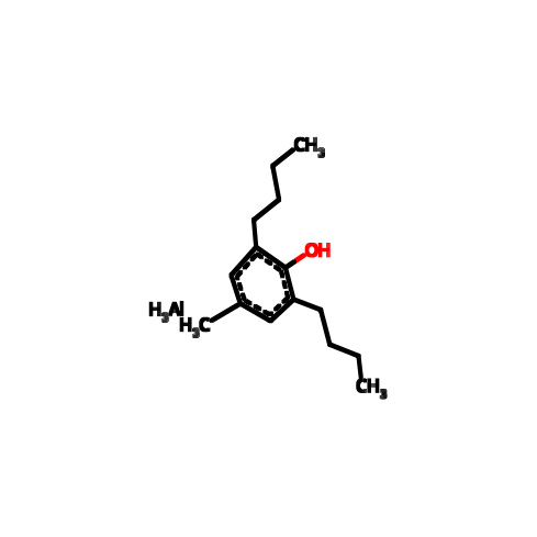 CCCCc1cc(C)cc(CCCC)c1O.[AlH3]